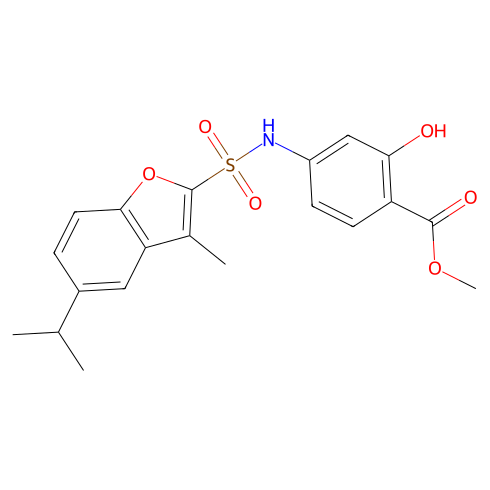 COC(=O)c1ccc(NS(=O)(=O)c2oc3ccc(C(C)C)cc3c2C)cc1O